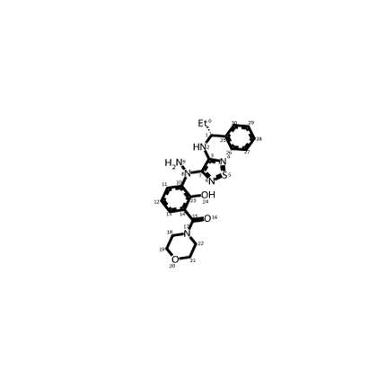 CC[C@@H](Nc1nsnc1N(N)c1cccc(C(=O)N2CCOCC2)c1O)c1ccccc1